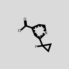 O=C(Cl)c1ccnc(C2(F)CC2)c1